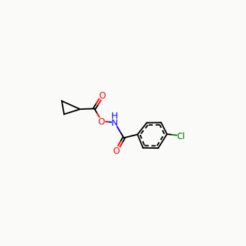 O=C(NOC(=O)C1CC1)c1ccc(Cl)cc1